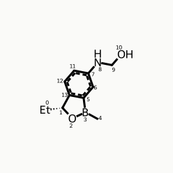 CC[C@H]1OB(C)c2cc(NCO)ccc21